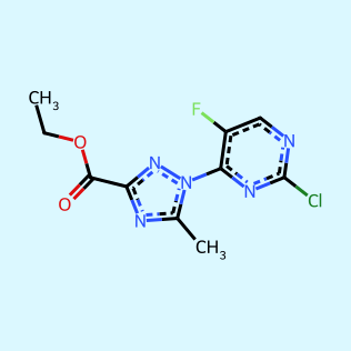 CCOC(=O)c1nc(C)n(-c2nc(Cl)ncc2F)n1